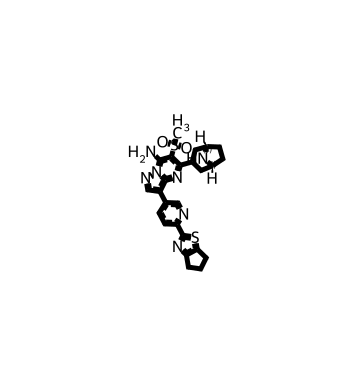 CS(=O)(=O)c1c(C2C[C@H]3CC[C@@H](C2)N3)nc2c(-c3ccc(-c4nc5c(s4)CCC5)nc3)cnn2c1N